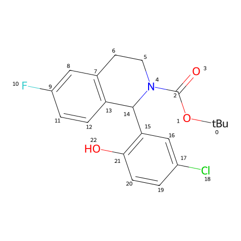 CC(C)(C)OC(=O)N1CCc2cc(F)ccc2C1c1cc(Cl)ccc1O